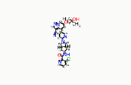 CC(C)(O)COc1cc(-c2ccc(N3C[C@H]4C[C@@H](NC(=O)c5ncccc5Cl)C[C@H]4C3)nc2)c2c(C#N)cnn2c1